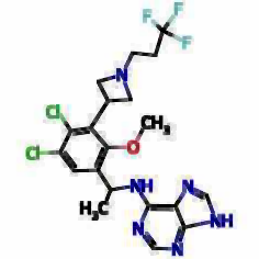 COc1c(C(C)Nc2ncnc3[nH]cnc23)cc(Cl)c(Cl)c1C1CN(CCC(F)(F)F)C1